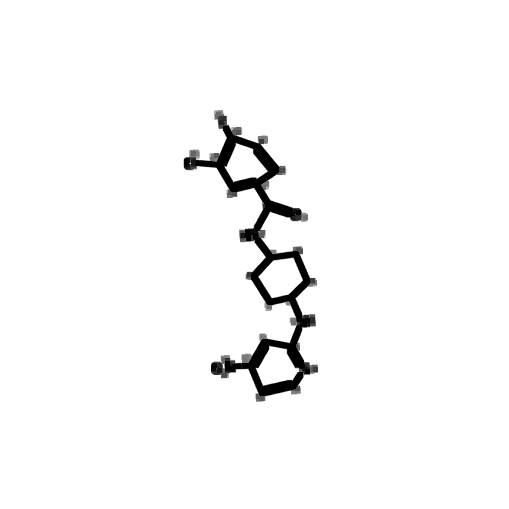 O=C(NC1CCC(Nc2cc([N+](=O)[O-])ccn2)CC1)c1ccc(F)c(Cl)c1